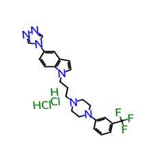 Cl.Cl.FC(F)(F)c1cccc(N2CCN(CCCn3ccc4cc(-n5cnnc5)ccc43)CC2)c1